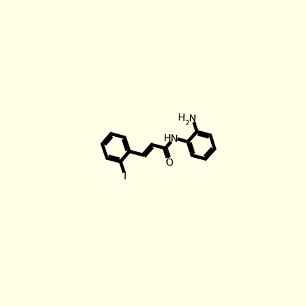 Nc1ccccc1NC(=O)C=Cc1ccccc1I